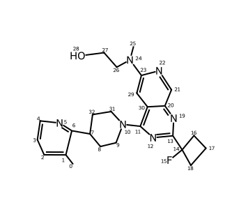 Cc1cccnc1C1CCN(c2nc(C3(F)CCC3)nc3cnc(N(C)CCO)cc23)CC1